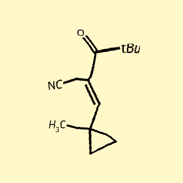 CC1(/C=C(\C#N)C(=O)C(C)(C)C)CC1